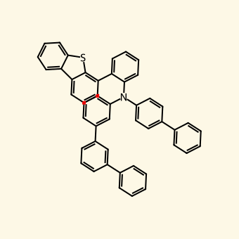 c1ccc(-c2ccc(N(c3cccc(-c4cccc(-c5ccccc5)c4)c3)c3ccccc3-c3cccc4c3sc3ccccc34)cc2)cc1